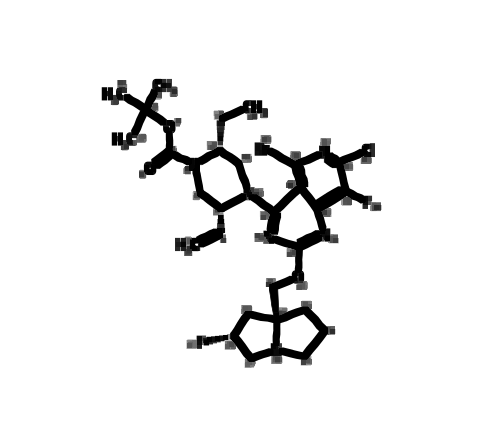 C=C[C@@H]1CN(C(=O)OC(C)(C)C)[C@H](CC)CN1c1nc(OC[C@@]23CCCN2C[C@H](F)C3)nc2c(F)c(Cl)nc(Br)c12